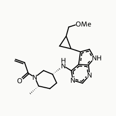 C=CC(=O)N1C[C@H](Nc2ncnc3[nH]cc(C4CC4COC)c23)CC[C@@H]1C